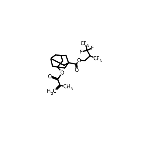 C=C(C)C(=O)OC12CC3CC(C1)CC(C(=O)OCC(C(F)(F)F)C(F)(F)C(F)(F)F)(C3)C2